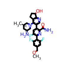 COCc1cc(F)c(-c2nc(C(N)=O)c(-c3cnc4c(c3N3C[C@H](C)C[C@H](N)C3)CCC4O)cc2F)c(F)c1